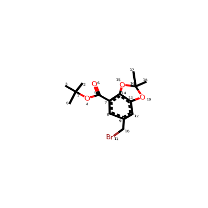 CC(C)(C)OC(=O)c1cc(CBr)cc2c1OC(C)(C)O2